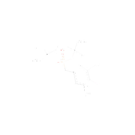 CCCCCCCCCC(CCCCCCCC)(CCCCCCCC)OP(=O)(Cc1cc(C(C)(C)C)c(O)c(C(C)(C)C)c1)OC(CCCCCCCC)(CCCCCCCC)CCCCCCCCC